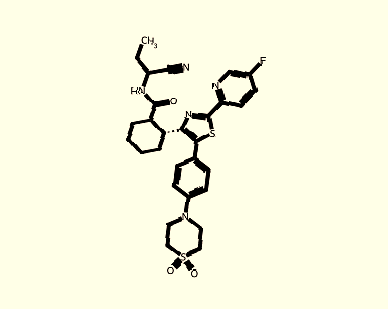 CCC(C#N)NC(=O)C1CCCC[C@H]1c1nc(-c2ccc(F)cn2)sc1-c1ccc(N2CCS(=O)(=O)CC2)cc1